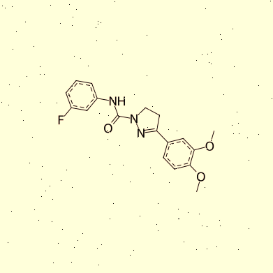 COc1ccc(C2=NN(C(=O)Nc3cccc(F)c3)CC2)cc1OC